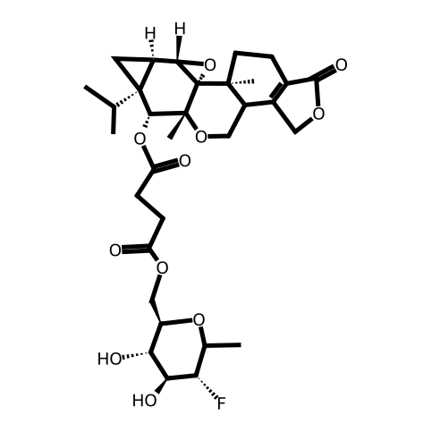 CC1O[C@H](COC(=O)CCC(=O)O[C@@H]2[C@@]3(C(C)C)C[C@H]3[C@@H]3O[C@@]34[C@@]3(C)CCC5=C(COC5=O)C3CO[C@]24C)[C@@H](O)[C@H](O)[C@H]1F